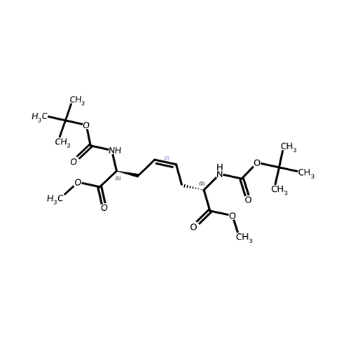 COC(=O)[C@H](C/C=C\C[C@H](NC(=O)OC(C)(C)C)C(=O)OC)NC(=O)OC(C)(C)C